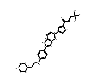 O=C(NCC(F)(F)F)c1cc(-c2cnc3[nH]c(-c4ccc(OCCN5CCOCC5)cc4)cc3c2)cs1